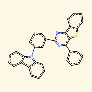 c1ccc(-c2nc(-c3cccc(-n4c5ccccc5c5ccccc54)c3)nc3c2sc2ccccc23)cc1